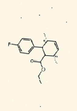 CCOC(=O)C1C(c2ccc(F)cc2)[C@H](C)C=C[C@@H]1C